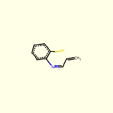 C=C/C=N\c1ccccc1S